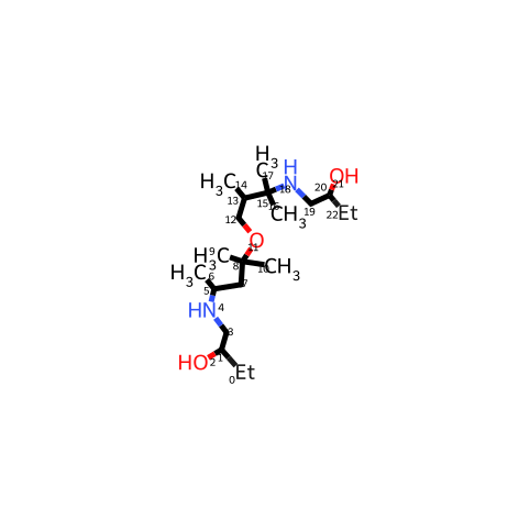 CCC(O)CNC(C)CC(C)(C)OCC(C)C(C)(C)NCC(O)CC